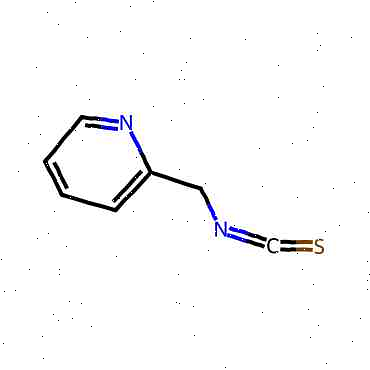 S=C=NCc1ccccn1